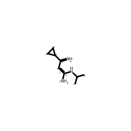 CC(C)N/C(N)=C\C(=N)C1CC1